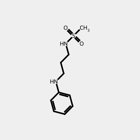 CS(=O)(=O)NCCCNc1ccccc1